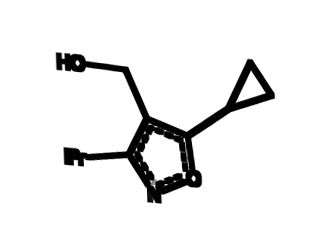 CC(C)c1noc(C2CC2)c1CO